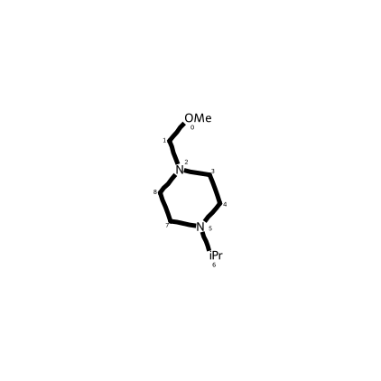 COCN1CCN(C(C)C)CC1